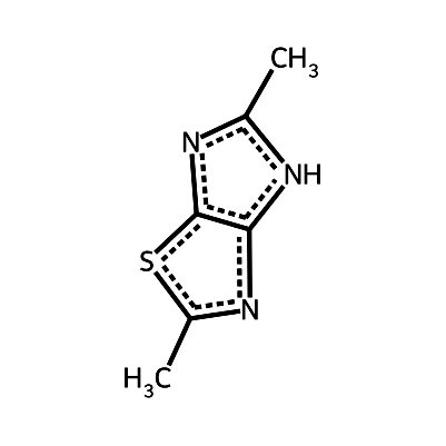 Cc1nc2sc(C)nc2[nH]1